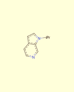 CC(C)n1ccc2ccncc21